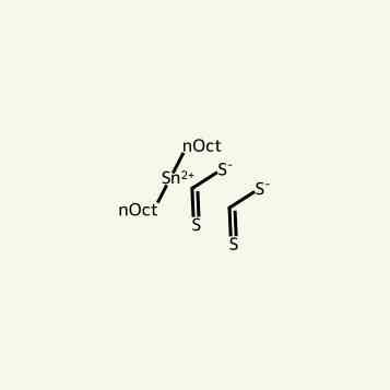 CCCCCCC[CH2][Sn+2][CH2]CCCCCCC.S=C[S-].S=C[S-]